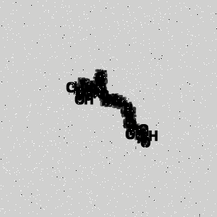 O=C1CC[C@H](N2Cc3cc(N4CCN(CC5CC6(CCN(CC7(COc8nc(N9CC%10CCC(C9)N%10)c9cnc(-c%10cc(O)cc(Cl)c%10C%10CC%10)c(F)c9n8)CC7)CC6)C5)CC4)ccc3C2=O)C(=O)N1